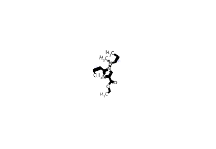 C/C=C\c1nc(C(=O)OCC)cn1N(C)/C=C\C